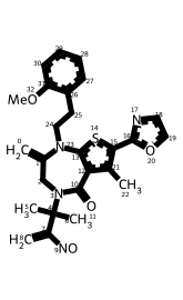 C=C1CN(C(C)(C)C(=C)N=O)C(=O)c2c(sc(-c3ncco3)c2C)N1CCc1ccccc1OC